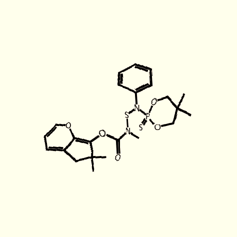 CN(SN(c1ccccc1)P1(=S)OCC(C)(C)CO1)C(=O)OC1=C2OC=CC=C2CC1(C)C